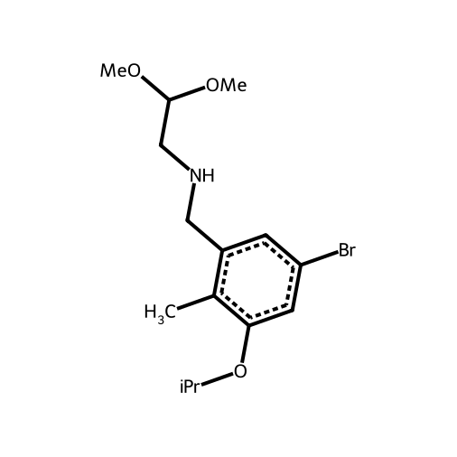 COC(CNCc1cc(Br)cc(OC(C)C)c1C)OC